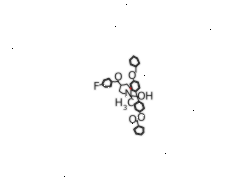 CC(N1CCC(C(=O)c2ccc(F)cc2)CC1)C(O)(c1ccc(OCc2ccccc2)cc1)c1ccc(OC(=O)c2ccccc2)cc1